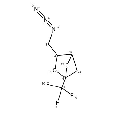 [N-]=[N+]=NCC1OC2(C(F)(F)F)CC1C2